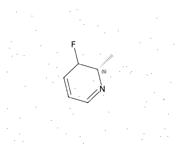 C[C@@H]1N=CC=CC1F